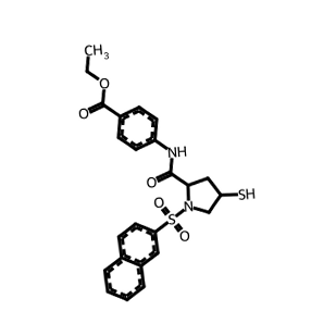 CCOC(=O)c1ccc(NC(=O)C2CC(S)CN2S(=O)(=O)c2ccc3ccccc3c2)cc1